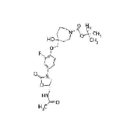 CC(=O)NC[C@H]1CN(c2ccc(OCC3(O)CCCN(C(=O)OC(C)(C)C)CC3)c(F)c2)C(=O)O1